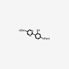 CCCCCCCCCCc1cnc(-c2ccc(CCCCC)cc2S)nc1